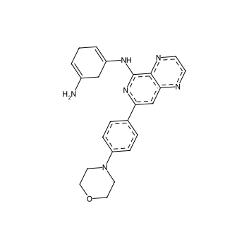 NC1=CCC=C(Nc2nc(-c3ccc(N4CCOCC4)cc3)cc3nccnc23)C1